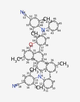 Cc1ccc2c(N(c3ccccc3)c3c(C)cc(C#N)cc3C)cc3c4cc(C)cc5c4c(cc3c2c1)-c1ccc(N(c2ccccc2)c2c(C)cc(C#N)cc2C)cc1O5